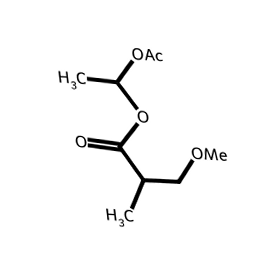 COCC(C)C(=O)OC(C)OC(C)=O